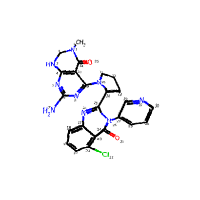 CN1CNc2nc(N)nc(N3CCCC3c3nc4cccc(Cl)c4c(=O)n3-c3cccnc3)c2C1=O